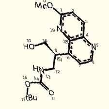 COc1ccc2nccc([C@H](CO)CNC(=O)OC(C)(C)C)c2n1